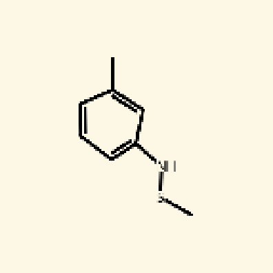 CSNc1cccc(C)c1